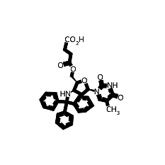 Cc1cn([C@H]2C[C@H](NC(c3ccccc3)(c3ccccc3)c3ccccc3)[C@@H](COC(=O)CCC(=O)O)O2)c(=O)[nH]c1=O